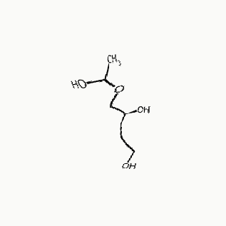 CC(O)OC[C@@H](O)CCO